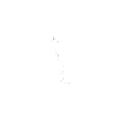 C=C1C(=O)O[C@H]2[C@H]1CC/C(COC(=O)/C=C\C(=O)NCc1ccc(CN3C(=C)N(c4ccc(OC)cc4)SC3=O)cc1)=C\CC[C@@]1(C)O[C@@H]21